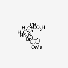 C/N=C(/SC(C)(C)C(=O)O)N(Cc1ccc(OC)c2ccccc12)C(=N)Br